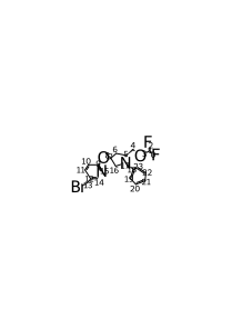 FC(F)OC[C@@H]1C[C@H](Oc2ccc(Br)cn2)CN1c1ccccc1